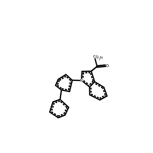 O=C(O)C(=O)c1cn(-c2cccc(-c3ccccc3)c2)c2ccccc12